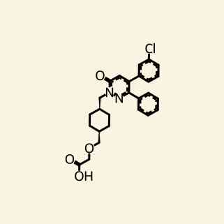 O=C(O)COC[C@H]1CC[C@@H](Cn2nc(-c3ccccc3)c(-c3cccc(Cl)c3)cc2=O)CC1